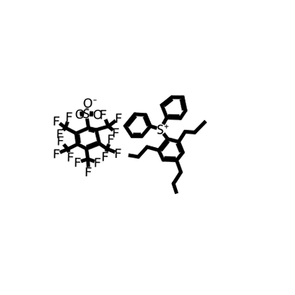 CCCc1cc(CCC)c([S+](c2ccccc2)c2ccccc2)c(CCC)c1.O=S(=O)([O-])c1c(C(F)(F)F)c(C(F)(F)F)c(C(F)(F)F)c(C(F)(F)F)c1C(F)(F)F